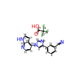 N#Cc1cccc(-c2cn(-c3ccnc4[nH]ccc34)cn2)c1.O=C(O)C(F)(F)F